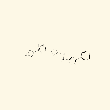 CCN1CC(c2nnc([C@H]3C[C@H](NC(=O)c4cc(-c5ccccc5)no4)C3)o2)C1